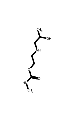 CNC(=O)OCCNCC(C)O